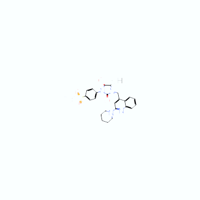 CC1C(=O)N(c2ccc(S(=O)(=O)C(F)(F)F)cc2)C(=O)N1Cc1cc(N2CCCCC2)nc2ccccc12